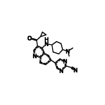 CN(C)C1CCC(Nc2c(C(=O)C3CC3)cnc3ccc(-c4cnc(C#N)nc4)cc23)CC1